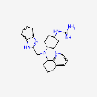 N=C(N)N[C@H]1CC[C@H](N(Cc2nc3ccccc3[nH]2)C2CCCc3cccnc32)CC1